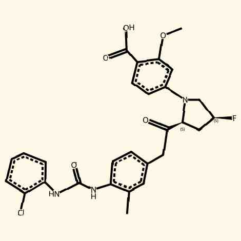 COc1cc(N2C[C@@H](F)C[C@H]2C(=O)Cc2ccc(NC(=O)Nc3ccccc3Cl)c(C)c2)ccc1C(=O)O